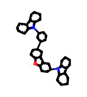 c1cc(-c2ccc3oc4ccc(-n5c6ccccc6c6ccccc65)cc4c3c2)cc(-n2c3ccccc3c3ccccc32)c1